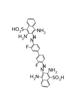 Nc1c(/N=N/c2ccc(-c3ccc(/N=N/c4c(N)c(S(=O)(=O)O)c5ccccc5c4N)c(F)c3)cc2F)c(N)c2ccccc2c1S(=O)(=O)O